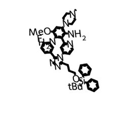 COc1cc(N2CCN(C)CC2)c(N)c(-c2cc(-n3c(CCCO[Si](c4ccccc4)(c4ccccc4)C(C)(C)C)nnc3-c3ccc(F)cc3)ccn2)c1N